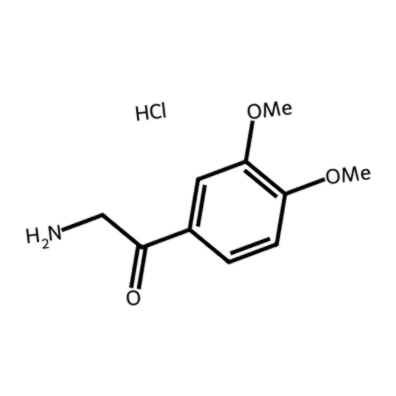 COc1ccc(C(=O)CN)cc1OC.Cl